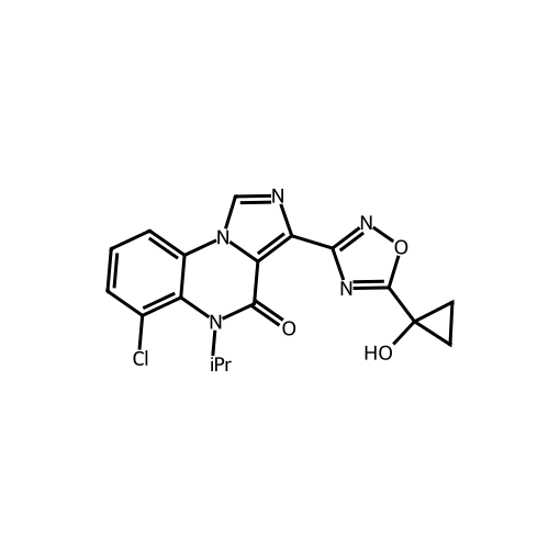 CC(C)n1c(=O)c2c(-c3noc(C4(O)CC4)n3)ncn2c2cccc(Cl)c21